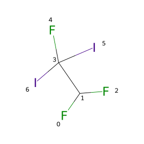 FC(F)C(F)(I)I